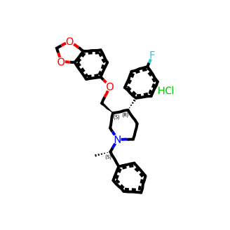 C[C@@H](c1ccccc1)N1CC[C@@H](c2ccc(F)cc2)[C@H](COc2ccc3c(c2)OCO3)C1.Cl